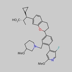 COc1cc(-c2ccc(C3CCc4ccc([C@H](C5CC5)[C@H](C)C(=O)O)cc4O3)cc2CN2CCCC(OC)C2)c(F)cn1